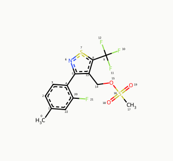 Cc1ccc(-c2nsc(C(F)(F)F)c2COS(C)(=O)=O)c(F)c1